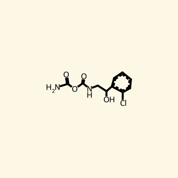 NC(=O)OC(=O)NCC(O)c1ccccc1Cl